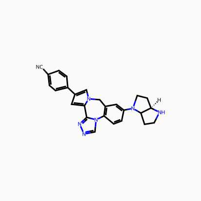 N#Cc1ccc(-c2cc3n(c2)Cc2cc(N4CC[C@H]5NCCC54)ccc2-n2cnnc2-3)cc1